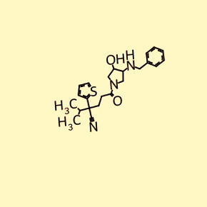 CC(C)C(C#N)(CCC(=O)N1CC(O)C(NCc2ccccc2)C1)c1cccs1